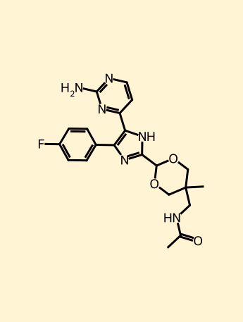 CC(=O)NCC1(C)COC(c2nc(-c3ccc(F)cc3)c(-c3ccnc(N)n3)[nH]2)OC1